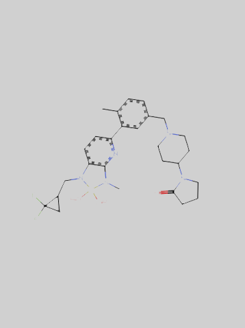 Cc1ccc(CN2CCC(N3CCCC3=O)CC2)cc1-c1ccc2c(n1)N(C)S(O)(O)N2CC1CC1(F)F